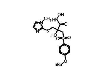 CCCCOc1ccc(S(=O)(=O)CC(O)(CSc2nccn2C)C(=O)NO)cc1